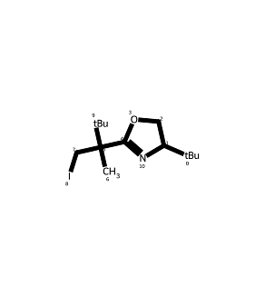 CC(C)(C)C1COC(C(C)(CI)C(C)(C)C)=N1